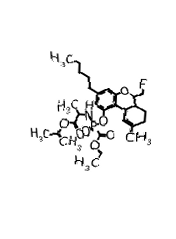 CCCCCc1cc2c(c(OP(=O)(NC(C)C(=O)OC(C)C)C(=O)OCC)c1)C1C=C(C)CCC1C(CF)O2